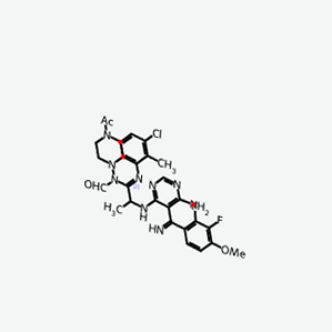 COc1ccc(C(=N)c2c(N)ncnc2NC(C)/C(=N/c2cccc(Cl)c2C)N(C=O)N2CCN(C(C)=O)CC2)c(F)c1F